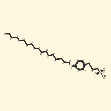 CCCCCCCCCCCCCCCCCCOc1ccc(CCCS(=O)(=O)O)cc1